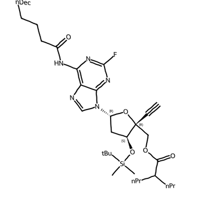 C#C[C@]1(COC(=O)C(CCC)CCC)O[C@@H](n2cnc3c(NC(=O)CCCCCCCCCCCCC)nc(F)nc32)C[C@@H]1O[Si](C)(C)C(C)(C)C